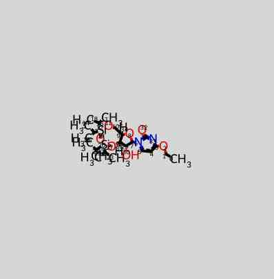 CCOc1ccn(C2O[C@@H]3CO[Si](C(C)C)(C(C)C)O[Si](C(C)C)(C(C)C)O[C@H]3[C@H]2O)c(=O)n1